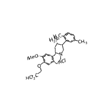 COc1cc2c(cc1OCC(=O)O)CCN1CC(c3cc(C)ccc3C)C(N)CC21.Cl